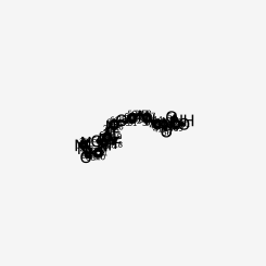 Cn1cnnc1CC1(c2cccc(-n3cc4c(C(F)(F)F)cc(CN5CCC(OCc6ccc(CN7CCN(c8ccc9c(c8)CN([C@@H]8CCC(=O)NC8=O)C9=O)CC7)cc6)CC5)cn4c3=O)c2)COC1